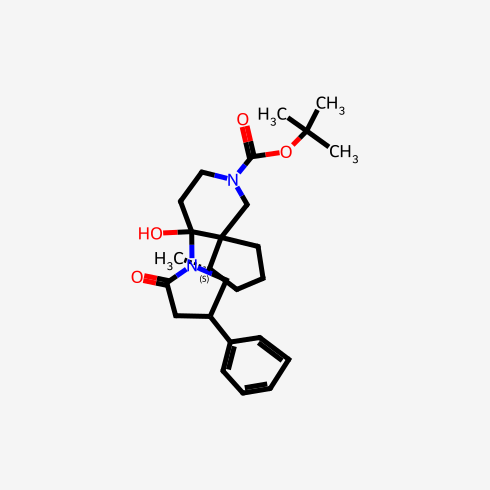 C[C@H]1CCCC12CN(C(=O)OC(C)(C)C)CCC2(O)N1CC(c2ccccc2)CC1=O